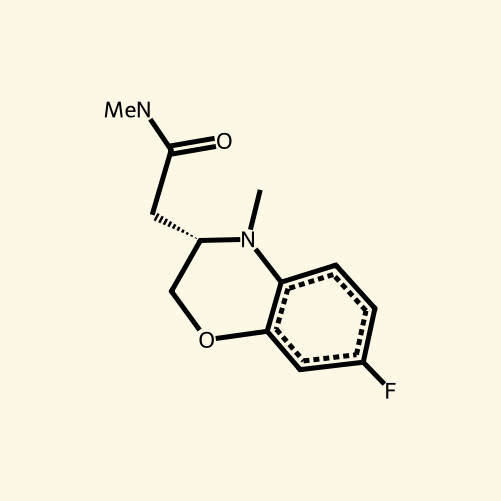 CNC(=O)C[C@H]1COc2cc(F)ccc2N1C